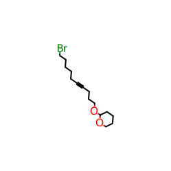 BrCCCCCC#CCCCOC1CCCCO1